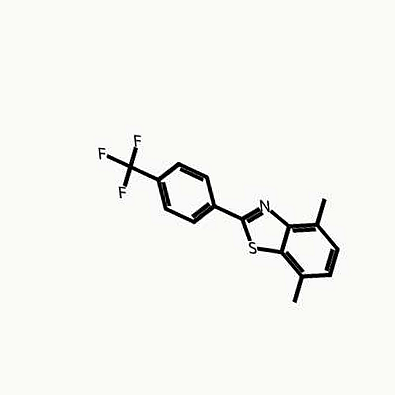 Cc1ccc(C)c2sc(-c3ccc(C(F)(F)F)cc3)nc12